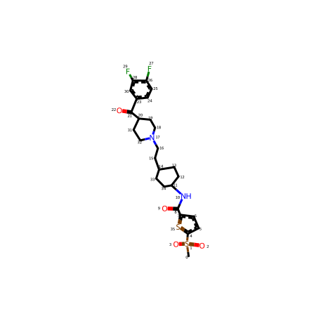 CS(=O)(=O)c1ccc(C(=O)NC2CCC(CCN3CCC(C(=O)c4ccc(F)c(F)c4)CC3)CC2)s1